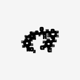 O=C(CSc1nc2c(s1)Cc1ccc([N+](=O)[O-])cc1-2)NCC1CN(Cc2ccc(Cl)c(Cl)c2)CCO1